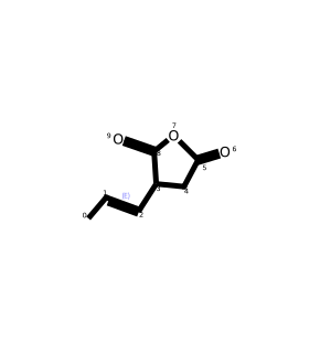 C/C=C/C1CC(=O)OC1=O